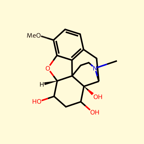 COc1ccc2c3c1O[C@H]1C(O)CC(O)[C@@]4(O)C(C2)N(C)CCC314